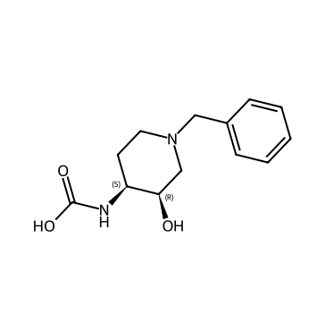 O=C(O)N[C@H]1CCN(Cc2ccccc2)C[C@H]1O